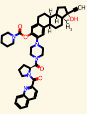 C#C[C@]1(O)CC[C@H]2[C@@H]3CCc4cc(OC(=O)N5CCCCC5)c(N5CCN(C(=O)[C@@H]6CCCN6C(=O)c6ccc7ccccc7n6)CC5)cc4[C@H]3CC[C@@]21C